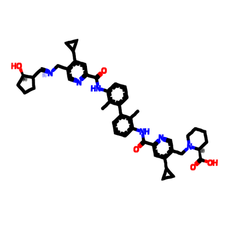 Cc1c(NC(=O)c2cc(C3CC3)c(C/N=C/C3CCC[C@H]3O)cn2)cccc1-c1cccc(NC(=O)c2cc(C3CC3)c(CN3CCCC[C@H]3C(=O)O)cn2)c1C